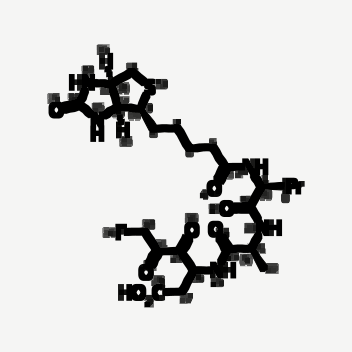 CC(C)[C@H](NC(=O)CCCC[C@@H]1SC[C@@H]2NC(=O)N[C@@H]21)C(=O)N[C@@H](C)C(=O)NC(CC(=O)O)C(=O)C(=O)CF